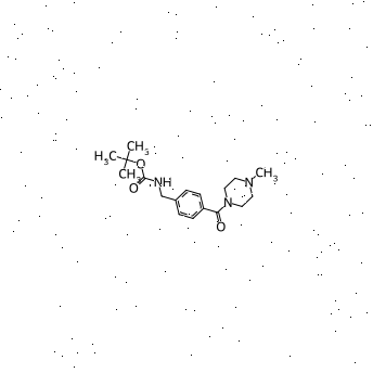 CN1CCN(C(=O)c2ccc(CNC(=O)OC(C)(C)C)cc2)CC1